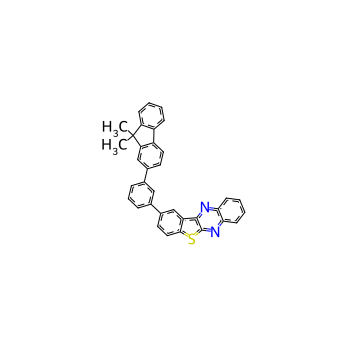 CC1(C)c2ccccc2-c2ccc(-c3cccc(-c4ccc5sc6nc7ccccc7nc6c5c4)c3)cc21